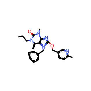 C=C1c2c(nc(OCc3ccc(C)nc3)n2Cc2ccccc2)N(C)C(=O)N1CCC